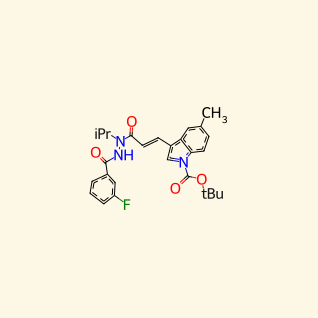 Cc1ccc2c(c1)c(C=CC(=O)N(NC(=O)c1cccc(F)c1)C(C)C)cn2C(=O)OC(C)(C)C